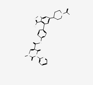 CC(C)C(=O)N1CCC(c2cc(-c3ccc(NC(=O)c4cn(C(C)C)c(=O)n(-c5ccccn5)c4=O)cc3)c3c(N)noc3c2)CC1